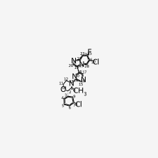 C[C@H]1[C@H](c2cccc(Cl)c2)OCCN1c1cncc(-c2cnc3cc(F)c(Cl)cn23)n1